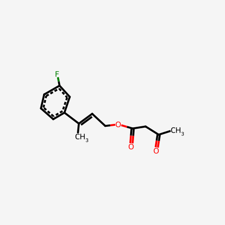 CC(=O)CC(=O)OCC=C(C)c1cccc(F)c1